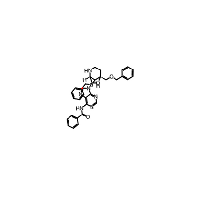 O=C(Nc1ncnc2c1ncn2[C@@H]1O[C@@]2(COCc3ccccc3)CCN[C@@H]1[C@@H]2OCc1ccccc1)c1ccccc1